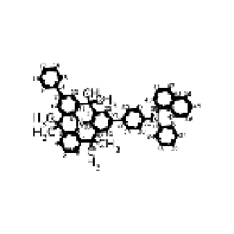 CC1(C)c2cccc3c2N2c4c1cc(-c1ccccc1)cc4C(C)(C)c1cc(-c4ccc(N(c5ccccc5)c5cccc6ccccc56)cc4)cc(c12)C3(C)C